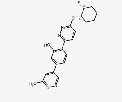 Cc1cc(-c2ccc(-c3ccc(O[C@H]4CCCC[C@H]4F)nn3)c(O)c2)cnn1